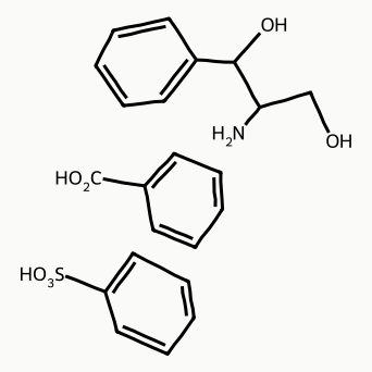 NC(CO)C(O)c1ccccc1.O=C(O)c1ccccc1.O=S(=O)(O)c1ccccc1